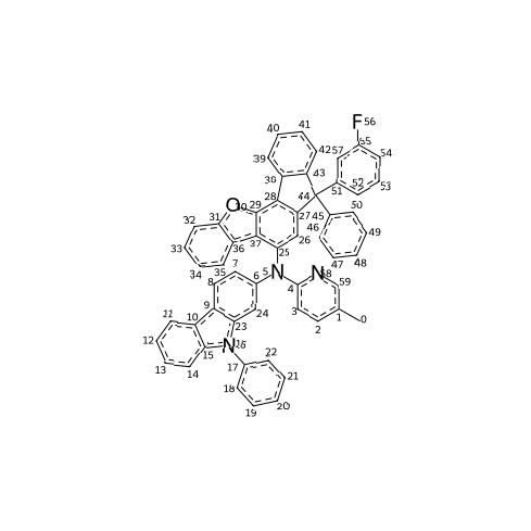 Cc1ccc(N(c2ccc3c4ccccc4n(-c4ccccc4)c3c2)c2cc3c(c4oc5ccccc5c24)-c2ccccc2C3(c2ccccc2)c2cccc(F)c2)nc1